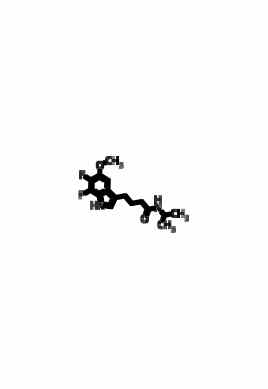 COc1cc2c(CCCC(=O)NC(C)C)c[nH]c2c(F)c1F